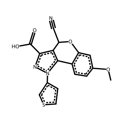 COc1ccc2c(c1)OC(C#N)c1c(C(=O)O)nn(-c3ccsc3)c1-2